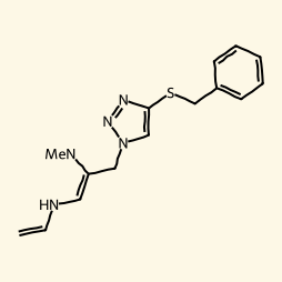 C=CN/C=C(/Cn1cc(SCc2ccccc2)nn1)NC